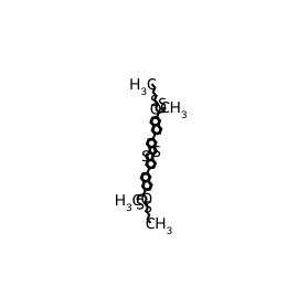 CCCCSC(=S)OC(CC)c1ccc2cc(-c3ccc4c(c3)sc3c5ccc(-c6ccc7cc(C(CC)OC(=S)SCCCC)ccc7c6)cc5sc43)ccc2c1